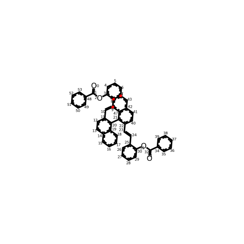 O=C(Oc1ccccc1/C=C/c1ccc2ccccc2c1-c1c(/C=C/c2ccccc2OC(=O)c2ccccc2)ccc2ccccc12)c1ccccc1